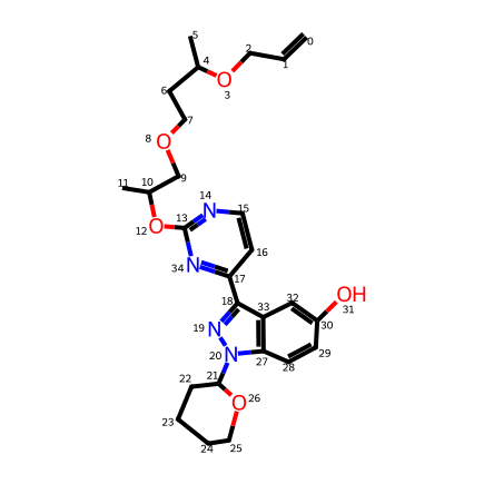 C=CCOC(C)CCOCC(C)Oc1nccc(-c2nn(C3CCCCO3)c3ccc(O)cc23)n1